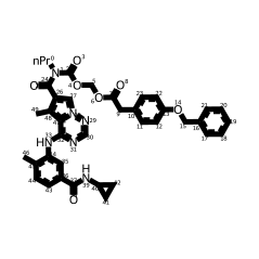 CCCN(C(=O)OCOC(=O)Cc1ccc(OCc2ccccc2)cc1)C(=O)c1cn2ncnc(Nc3cc(C(=O)NC4CC4)ccc3C)c2c1C